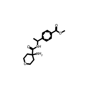 COC(=O)c1ccc(C(C)NC(=O)C2(N)CCOCC2)cc1